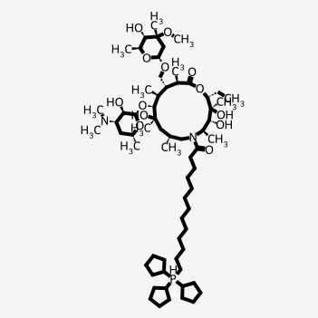 CC[C@H]1OC(=O)[C@H](C)[C@@H](CO[C@H]2C[C@@](C)(OC)[C@@H](O)[C@H](C)O2)[C@H](C)[C@@H](O[C@@H]2O[C@H](C)C[C@H](N(C)C)[C@H]2O)[C@](C)(O)C[C@@H](C)CN(C(=O)CCCCCCCCCCCC[PH](C2CCCC2)(C2CCCC2)C2CCCC2)[C@H](C)[C@@H](O)[C@]1(C)O